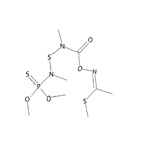 COP(=S)(OC)N(C)SN(C)C(=O)ON=C(C)SC